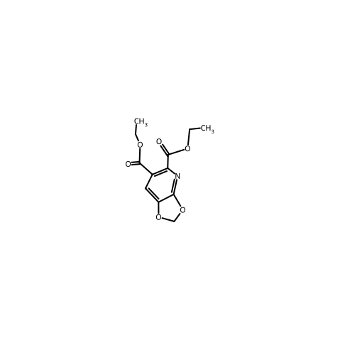 CCOC(=O)c1cc2c(nc1C(=O)OCC)OCO2